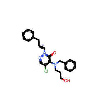 O=c1c(N(CCCO)Cc2ccccc2)c(Cl)cnn1/C=C/Cc1ccccc1